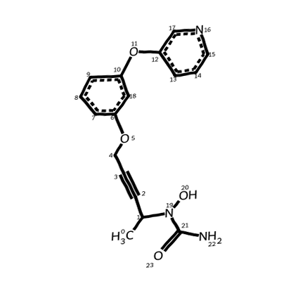 CC(C#CCOc1cccc(Oc2cccnc2)c1)N(O)C(N)=O